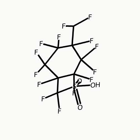 O=S(=O)(O)C(F)(F)C1(F)C(F)(F)C(F)(F)C(F)(C(F)F)C(F)(F)C1(F)F